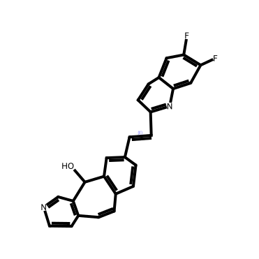 OC1c2cnccc2C=Cc2ccc(/C=C/c3ccc4cc(F)c(F)cc4n3)cc21